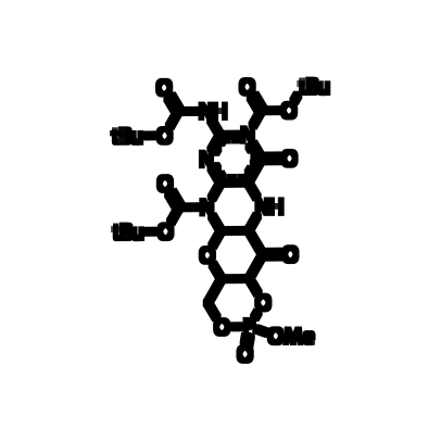 COP1(=O)OCC2OC3C(Nc4c(nc(NC(=O)OC(C)(C)C)n(C(=O)OC(C)(C)C)c4=O)N3C(=O)OC(C)(C)C)C(=O)C2O1